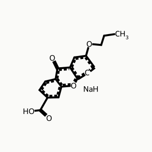 CCCOc1ccc2oc3cc(C(=O)O)ccc3c(=O)c2c1.[NaH]